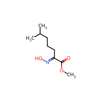 COC(=O)C(CCCC(C)C)=NO